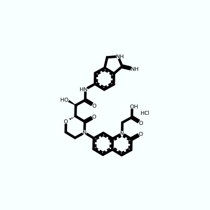 Cl.N=C1NCc2cc(NC(=O)[C@H](O)[C@H]3OCCN(c4ccc5ccc(=O)n(CC(=O)O)c5c4)C3=O)ccc21